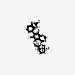 O=c1[nH]c2cccc(-c3c(Cl)c4c5c(ncnc5c3F)N3C[C@H]5CC[C@H](N5)[C@@H]3CO4)c2[nH]1